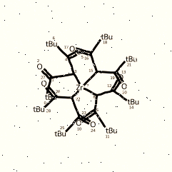 CC(C)(C)C(=O)[CH](C(=O)C(C)(C)C)[Zr]([CH](C(=O)C(C)(C)C)C(=O)C(C)(C)C)([CH](C(=O)C(C)(C)C)C(=O)C(C)(C)C)[CH](C(=O)C(C)(C)C)C(=O)C(C)(C)C